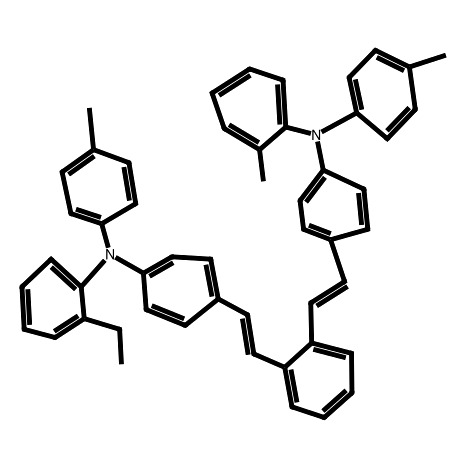 CCc1ccccc1N(c1ccc(C)cc1)c1ccc(C=Cc2ccccc2C=Cc2ccc(N(c3ccc(C)cc3)c3ccccc3C)cc2)cc1